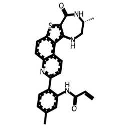 C=CC(=O)Nc1cc(C)ccc1-c1ccc2c(ccc3sc4c(c32)NC[C@@H](C)NC4=O)n1